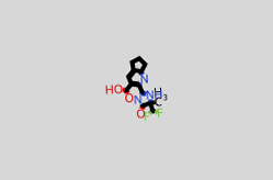 CC1(C(F)F)NC(c2nc3c(cc2C(=O)O)CCC3)=NC1=O